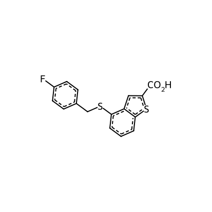 O=C(O)c1cc2c(SCc3ccc(F)cc3)cccc2s1